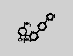 CC1=CC=C(N)CC1(N)c1nccc(-c2ccc(-n3ccnc3)cc2)n1